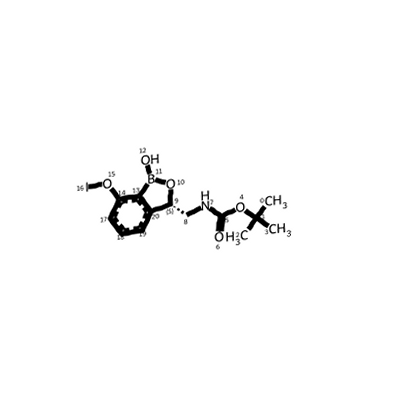 CC(C)(C)OC(=O)NC[C@H]1OB(O)c2c(OI)cccc21